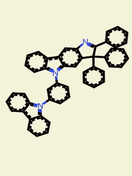 c1ccc(C2=Nc3cc4c5ccccc5n(-c5cccc(-n6c7ccccc7c7ccccc76)c5)c4cc3C2(c2ccccc2)c2ccccc2)cc1